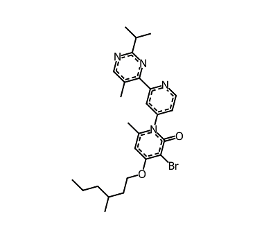 CCCC(C)CCOc1cc(C)n(-c2ccnc(-c3nc(C(C)C)ncc3C)c2)c(=O)c1Br